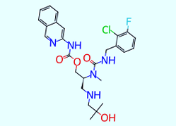 CN(C(=O)NCc1cccc(F)c1Cl)[C@@H](CNCC(C)(C)O)COC(=O)Nc1cc2ccccc2cn1